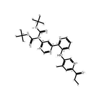 CCC(=O)c1cc(C)c(Nc2cccnc2-c2cc(N(C(=O)OC(C)(C)C)C(=O)OC(C)(C)C)ncn2)cn1